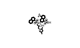 CC1CC(C)N(CC(O)CNS(=O)(=O)c2cccc3ccccc23)C1.CN(C)c1cccc2c(S(=O)(=O)O)cccc12